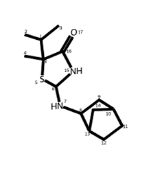 CC(C)C1(C)SC(NC2CC3CCC2C3)NC1=O